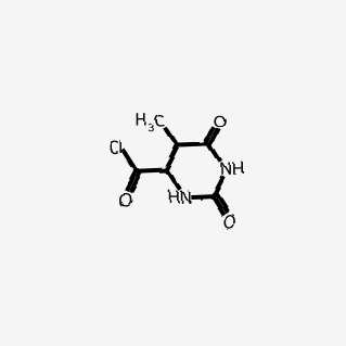 CC1C(=O)NC(=O)NC1C(=O)Cl